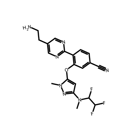 CN(c1cc(Oc2cc(C#N)ccc2-c2ncc(CCN)cn2)n(C)n1)C(F)C(F)F